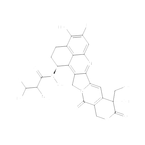 CC[C@@]1(O)C(=O)OCc2c1cc1n(c2=O)Cc2c-1nc1cc(F)c(C)c3c1c2[C@@H](N(C)C(=O)C(N)C(C)C)CC3